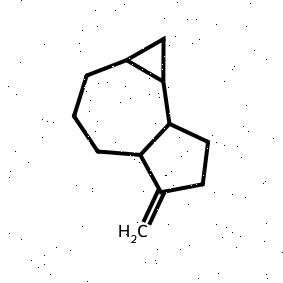 C=C1CCC2C1CCCC1CC12